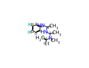 C=C(CC)N(C)C(C)NC(C)Nc1ccc(F)c(F)c1